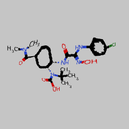 CN(C)C(=O)[C@H]1CC[C@H](NC(=O)C(=NO)Nc2ccc(Cl)cc2)[C@H](N(C(=O)O)C(C)(C)C)C1